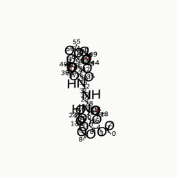 CC(=O)OCC(OC(C)=O)C(OC(C)=O)C(OC(C)=O)C(OC(C)=O)C(=O)NCCNCCNC(=O)C(OC(C)=O)C(OC(C)=O)C(OC(C)=O)C(COC(C)=O)OC(C)=O